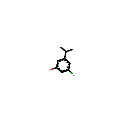 C[C](C)c1cc(Cl)cc(Br)c1